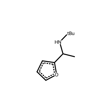 CC(NC(C)(C)C)c1ccco1